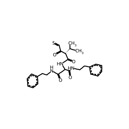 CC(C)[C@@H](C(=O)C=S)C(=O)NC(C(=O)NCCc1ccccc1)C(=O)NCCc1ccccc1